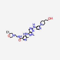 CC[C@@H]1CN(CCNC(=O)c2cnc(C)c(Nc3nn(C)c4nc(Nc5ccnc(N6CCC(CCO)CC6)c5)ncc34)c2)CCO1